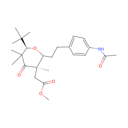 COC(=O)C[C@@]1(C)C(=O)C(C)(C)[C@@H](C(C)(C)C)OC1CCc1ccc(NC(C)=O)cc1